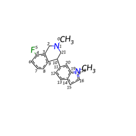 CN1Cc2c(F)cccc2C(c2ccc3ccn(C)c3c2)C1